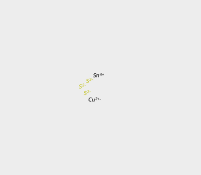 [Cu+2].[S-2].[S-2].[S-2].[Sn+4]